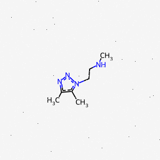 CNCCn1nnc(C)c1C